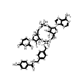 Nc1ncnc2c1ncn2[C@@H]1O[C@@H]2COP(=O)(SCc3ccc(CNC(=O)c4ccc(O)cc4)cc3)O[C@H]3[C@@H](F)[C@H](n4ccc(=O)[nH]c4=O)O[C@@H]3COP(=O)(O)O[C@@H]1[C@@H]2F